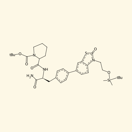 CC(C)(C)OC(=O)N1CCCCC1C(=O)N[C@@H](Cc1ccc(-c2ccc3c(c2)sc(=O)n3CCO[Si](C)(C)C(C)(C)C)cc1)C(N)=O